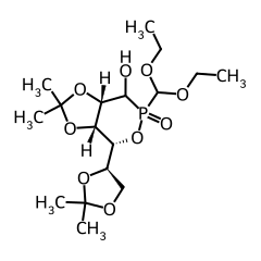 CCOC(OCC)P1(=O)O[C@H]([C@H]2COC(C)(C)O2)[C@@H]2OC(C)(C)O[C@@H]2C1O